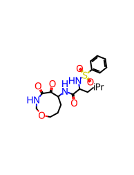 CC(C)CC(NS(=O)(=O)c1ccccc1)C(=O)NC1CCCOCNC(=O)C1=O